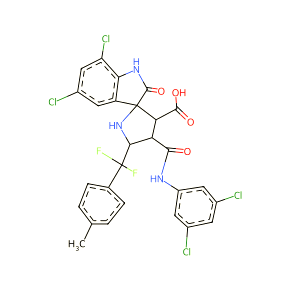 Cc1ccc(C(F)(F)C2NC3(C(=O)Nc4c(Cl)cc(Cl)cc43)C(C(=O)O)C2C(=O)Nc2cc(Cl)cc(Cl)c2)cc1